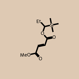 CCC(OC(=O)/C=C/C(=O)OC)[Si](C)(C)C